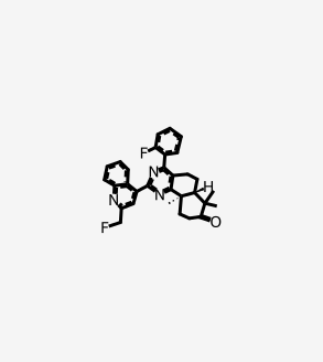 CC1(C)C(=O)CC[C@@]2(C)c3nc(-c4cc(CF)nc5ccccc45)nc(-c4ccccc4F)c3CC[C@H]12